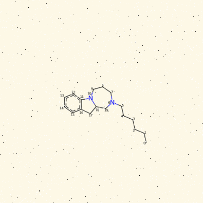 CCCCCCN1CCCN2c3ccccc3CC2C1